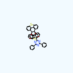 c1ccc(-c2nc(-c3ccccc3)nc(-c3ccc4c5c(cccc35)C35c6cccc7sc8cccc(c8c67)C43c3cccc4sc6cccc5c6c34)n2)cc1